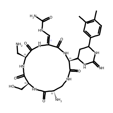 Cc1ccc(C2CC([C@@H]3NC(=O)/C(=C/NC(N)=O)NC(=O)[C@H](CN)NC(=O)[C@H](CO)NC(=O)[C@@H](N)CNC3=O)NC(=N)N2)cc1C